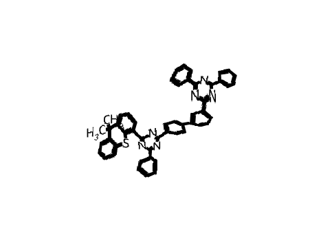 CC1(C)c2ccccc2Sc2c(-c3nc(-c4ccccc4)nc(-c4ccc(-c5cccc(-c6nc(-c7ccccc7)nc(-c7ccccc7)n6)c5)cc4)n3)cccc21